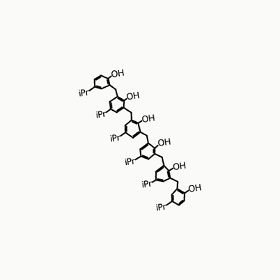 CC(C)c1ccc(O)c(Cc2cc(C(C)C)cc(Cc3cc(C(C)C)cc(Cc4cc(C(C)C)cc(Cc5cc(C(C)C)cc(Cc6cc(C(C)C)ccc6O)c5O)c4O)c3O)c2O)c1